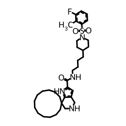 Cc1c(F)cccc1S(=O)(=O)N1CCC(CCCCNC(=O)c2cc3c([nH]2)C2(CCCCCCCCCCCC2)CNC3)CC1